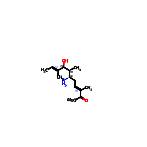 C/C=C(\C)[C@@H](O)[C@@H](C)[C@@H](N)C/C=C(\C)C(=O)OC